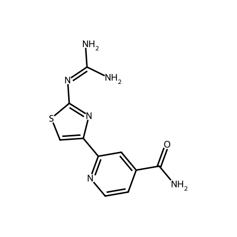 NC(=O)c1ccnc(-c2csc(N=C(N)N)n2)c1